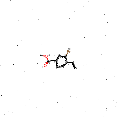 C=Cc1ccc(C(=O)OC)cc1Br